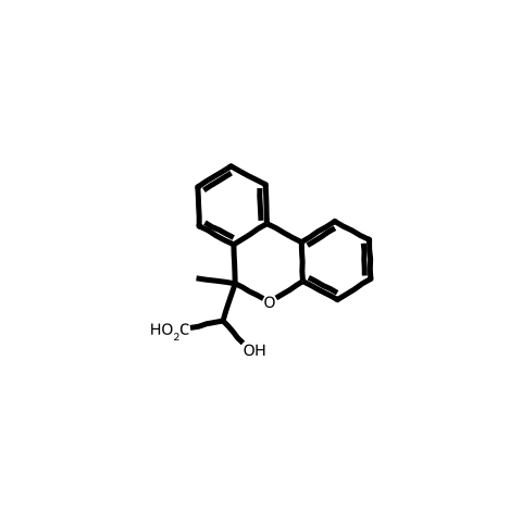 CC1(C(O)C(=O)O)Oc2ccccc2-c2ccccc21